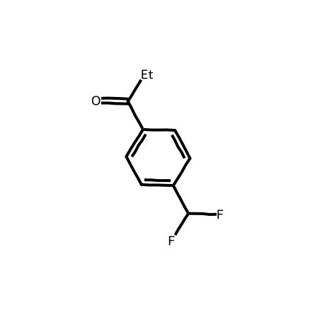 CCC(=O)c1ccc(C(F)F)cc1